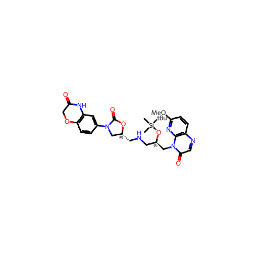 COc1ccc2ncc(=O)n(C[C@@H](CNC[C@@H]3CN(c4ccc5c(c4)NC(=O)CO5)C(=O)O3)O[Si](C)(C)C(C)(C)C)c2n1